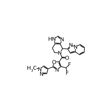 Cn1cc(-c2nc(C(F)F)c(C(=O)N3CCc4[nH]cnc4C3c3cc4ccccn4n3)o2)cn1